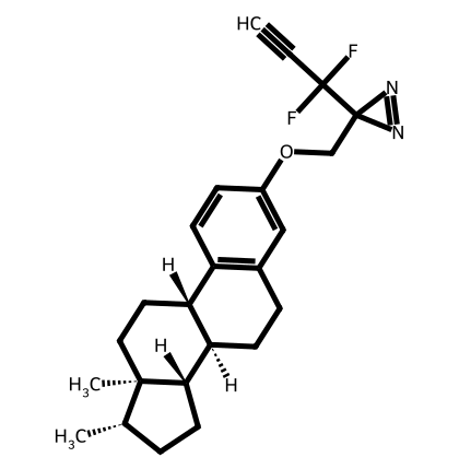 C#CC(F)(F)C1(COc2ccc3c(c2)CC[C@@H]2[C@@H]3CC[C@]3(C)[C@@H](C)CC[C@@H]23)N=N1